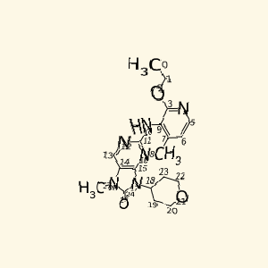 CCOc1nccc(C)c1Nc1ncc2c(n1)n(C1CCOCC1)c(=O)n2C